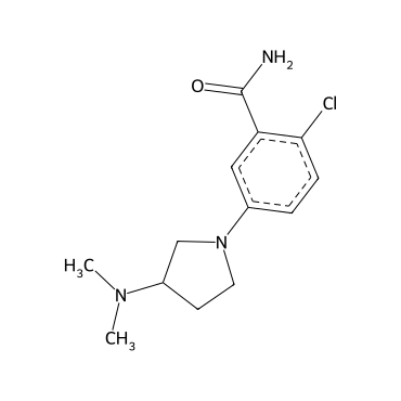 CN(C)C1CCN(c2ccc(Cl)c(C(N)=O)c2)C1